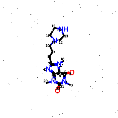 Cn1c(=O)c2c(nc(CCCN3CCNCC3)n2C)n(C)c1=O